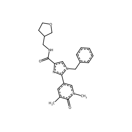 Cc1cc(-c2nc(C(=O)NCC3CCOC3)cn2Cc2ccccc2)cn(C)c1=O